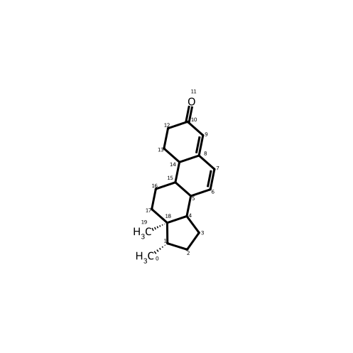 C[C@H]1CCC2C3C=CC4=CC(=O)CCC4C3CC[C@@]21C